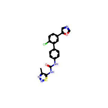 Cc1nnsc1NC(=O)Nc1ccc(-c2cc(-c3cnco3)ccc2Cl)cc1